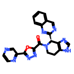 O=C(c1nnc(-c2cnccn2)o1)N1CCc2[nH]cnc2[C@H]1c1ncc2ccccc2n1